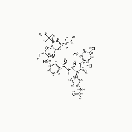 CCC(Oc1ccc(C(C)(C)CC)cc1C(C)(C)CC)C(=O)Nc1cccc(C(=O)NC2=NN(c3c(Cl)cc(Cl)cc3Cl)C(=O)C2n2cc(NC(C)=O)cn2)c1